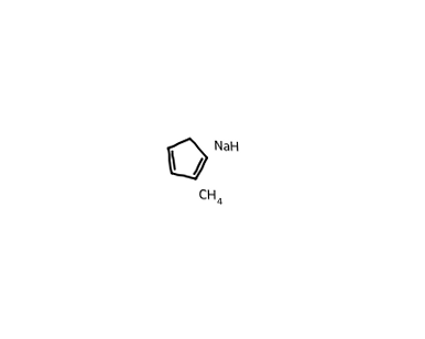 C.C1=CCC=C1.[NaH]